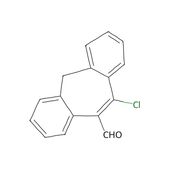 O=CC1=C(Cl)c2ccccc2Cc2ccccc21